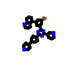 Brc1cc(-c2nc(-c3ccc(-c4ccncc4)cc3)nc(-c3cccnc3)n2)cc(-c2cccc3ncccc23)c1